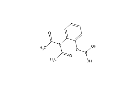 CC(=O)N(C(C)=O)c1ccccc1OB(O)O